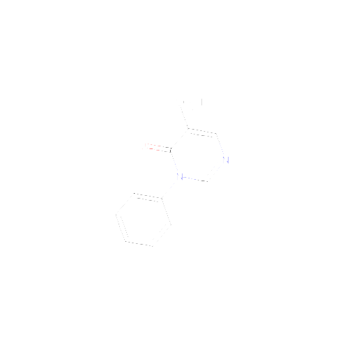 O=C(O)c1cncn(-c2ccccc2)c1=O